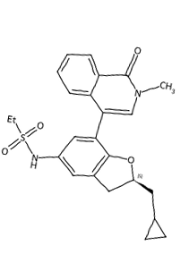 CCS(=O)(=O)Nc1cc2c(c(-c3cn(C)c(=O)c4ccccc34)c1)O[C@@H](CC1CC1)C2